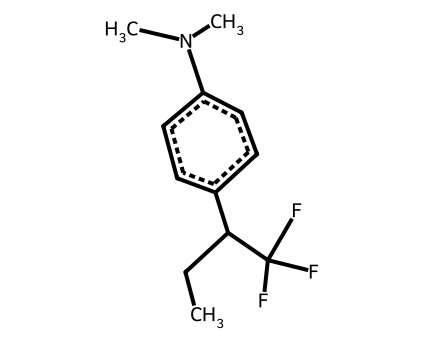 CCC(c1ccc(N(C)C)cc1)C(F)(F)F